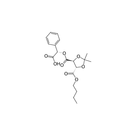 CCCCOC(=O)[C@H]1OC(C)(C)O[C@@H]1C(=O)O[C@H](C(=O)O)c1ccccc1